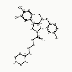 C[C@@H](Oc1ccc(Cl)cn1)[C@@H]1CN(C(=O)CCCCN2CCOCC2)C[C@H]1c1ccc(Cl)c(Cl)c1